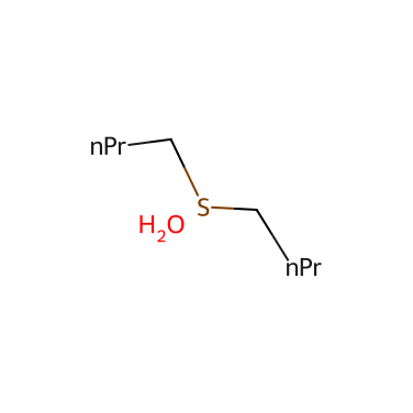 CCCCSCCCC.O